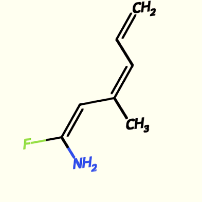 C=C/C=C(C)\C=C(/N)F